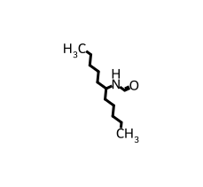 CCCCCC(CCCCC)NC=O